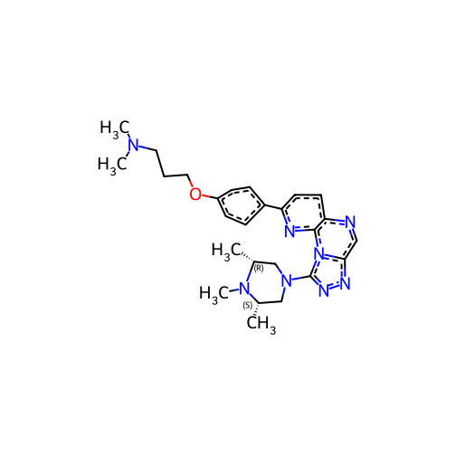 C[C@@H]1CN(c2nnc3cnc4ccc(-c5ccc(OCCCN(C)C)cc5)nc4n23)C[C@H](C)N1C